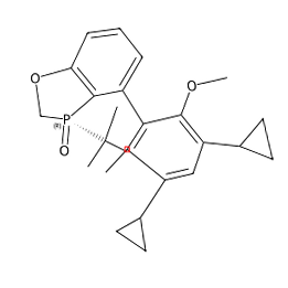 COc1c(C2CC2)cc(C2CC2)c(C)c1-c1cccc2c1[P@](=O)(C(C)(C)C)CO2